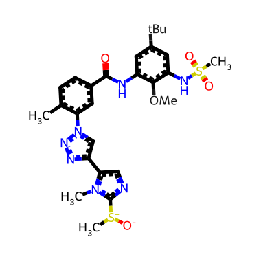 COc1c(NC(=O)c2ccc(C)c(-n3cc(-c4cnc([S+](C)[O-])n4C)nn3)c2)cc(C(C)(C)C)cc1NS(C)(=O)=O